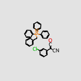 N#CC(=C=O)c1cccc(Cl)c1.c1ccc(C[PH](c2ccccc2)(c2ccccc2)c2ccccc2)cc1